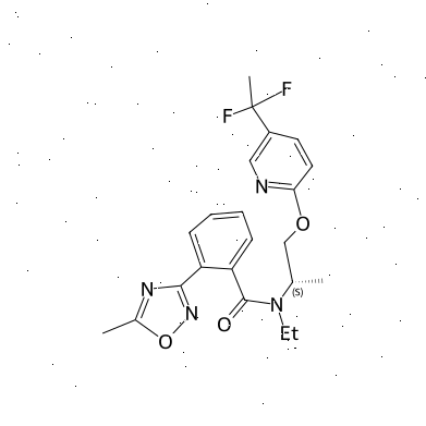 CCN(C(=O)c1ccccc1-c1noc(C)n1)[C@@H](C)COc1ccc(C(C)(F)F)cn1